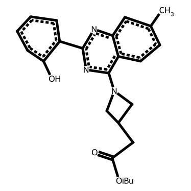 Cc1ccc2c(N3CC(CC(=O)OCC(C)C)C3)nc(-c3ccccc3O)nc2c1